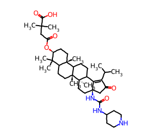 CC(C)C1=C2C3CCC4[C@@]5(C)CC[C@H](OC(=O)CC(C)(C)C(=O)O)C(C)(C)C5CC[C@@]4(C)[C@]3(C)CC[C@@]2(NC(=O)NC2CCNCC2)CC1=O